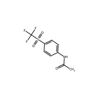 CC(=O)Nc1ccc(S(=O)(=O)C(F)(F)F)cc1